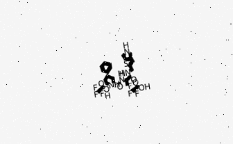 CC(NC(=O)[C@H]1C[C@@H](c2ccccc2)CCN1)C(=O)NCc1cc2c(s1)CNC2.O=C(O)C(F)(F)F.O=C(O)C(F)(F)F